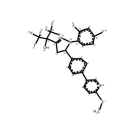 CSc1ccc(-c2ccc(C3CC(C(O)(C(F)(F)F)C(F)(F)F)=NN3c3ccc(F)cc3F)cc2)cn1